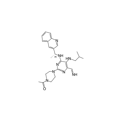 CC(=O)N1CCN(c2nc(C=N)c(NCC(C)C)c(N[C@H](C)c3cnc4ccccc4c3)n2)CC1